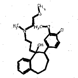 COCCN(C)CCCC1(O)c2ccccc2CCCC1c1ccc(Cl)c(OC)c1